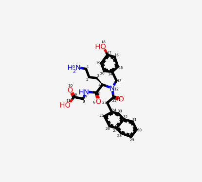 NCCC[C@H](C(=O)NCC(=O)O)N(Cc1ccc(O)cc1)C(=O)Cc1ccc2ccccc2c1